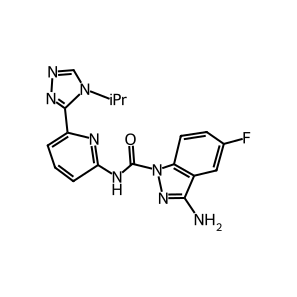 CC(C)n1cnnc1-c1cccc(NC(=O)n2nc(N)c3cc(F)ccc32)n1